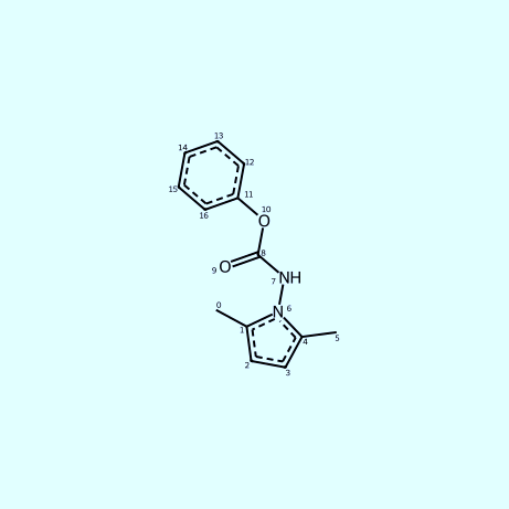 Cc1ccc(C)n1NC(=O)Oc1ccccc1